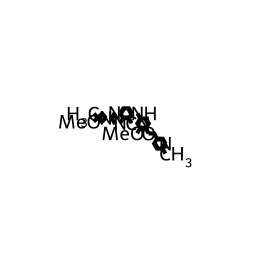 COc1cc(Nc2ccc3nc(N4CC(C)(OC)C4)cnc3c2C#N)ccc1OCc1ccc(C)nc1